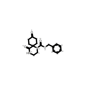 O=C1CCC2(CC1)C(=O)NCCN2C(=O)OCc1ccccc1